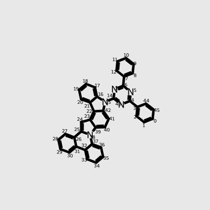 c1ccc(-c2nc(-c3ccccc3)nc(-n3c4ccccc4c4c5cc6c7ccccc7c7ccccc7n6c5ccc43)n2)cc1